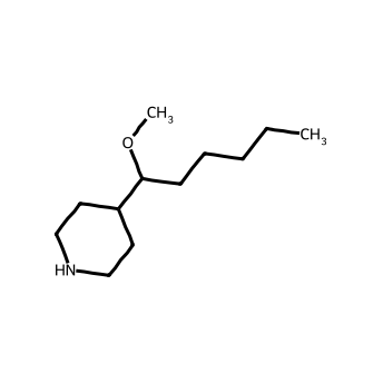 CCCCCC(OC)C1CCNCC1